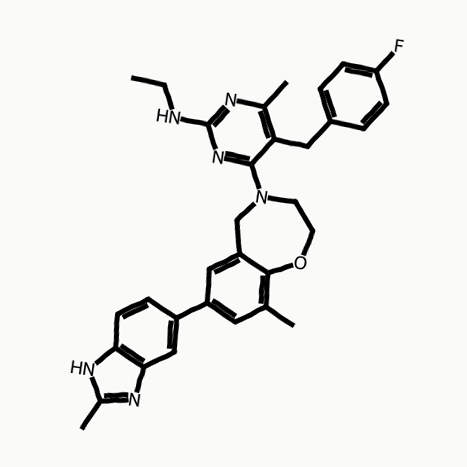 CCNc1nc(C)c(Cc2ccc(F)cc2)c(N2CCOc3c(C)cc(-c4ccc5[nH]c(C)nc5c4)cc3C2)n1